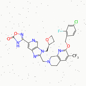 O=c1[nH]c(-c2cc3nc(CN4CCc5cc(C(F)(F)F)c(OCc6ccc(Cl)cc6F)nc5C4)n(C[C@@H]4CCO4)c3cn2)no1